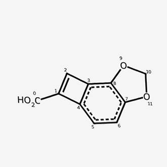 O=C(O)C1=Cc2c1ccc1c2OCO1